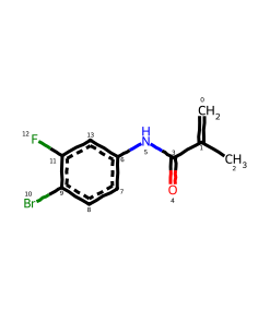 C=C(C)C(=O)Nc1ccc(Br)c(F)c1